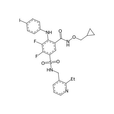 CCc1ncccc1CNS(=O)(=O)c1cc(C(=O)NOCC2CC2)c(Nc2ccc(I)cc2)c(F)c1F